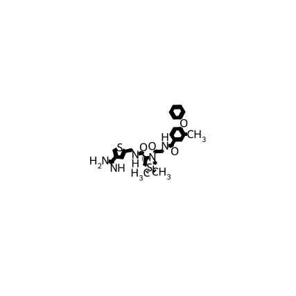 Cc1cc(C(=O)NCC(=O)N2C[Si](C)(C)C[C@H]2C(=O)NCc2cc(C(=N)N)cs2)ccc1Oc1ccccc1